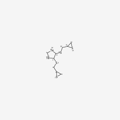 C1[Te]C(SCC2CS2)C(SCC2CS2)[Te]1